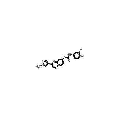 Cn1cc(-c2cnc3ccc(NC(=O)Nc4ccc(F)c(Cl)c4)cc3n2)cn1